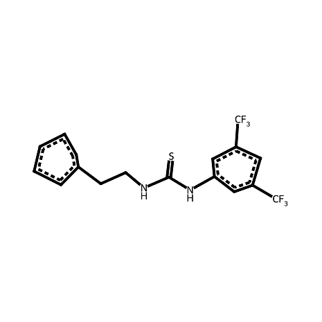 FC(F)(F)c1cc(NC(=S)NCCc2ccccc2)cc(C(F)(F)F)c1